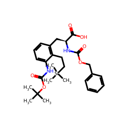 CC(C)(C)OC(=O)Nc1cccc(C[C@H](NC(=O)OCc2ccccc2)C(=O)O)c1CC[Si](C)(C)C